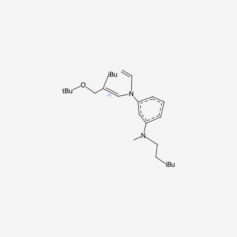 C=CN(/C=C(/COC(C)(C)C)C(C)CC)c1cccc(N(C)CCC(C)CC)c1